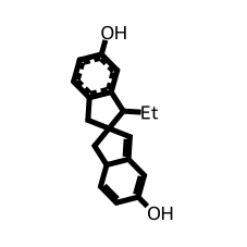 CCC1c2cc(O)ccc2CC12C=C1C=C(O)C=CC1C2